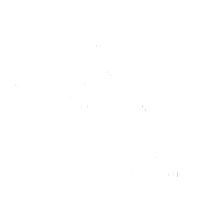 C[C@H]1CN(C(=O)OC(C)(C)C)CCCN1S(=O)(=O)c1cccc2cncc(Br)c12